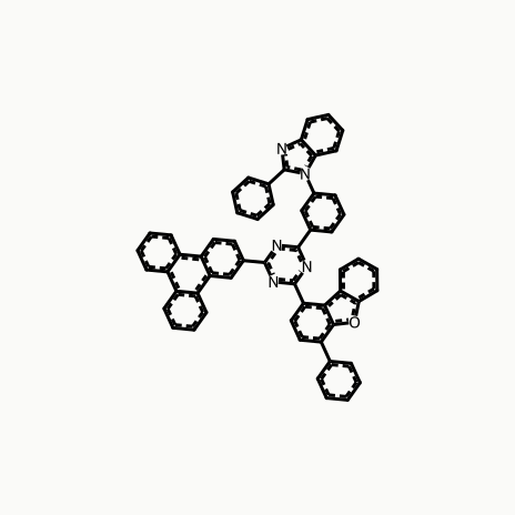 c1ccc(-c2ccc(-c3nc(-c4cccc(-n5c(-c6ccccc6)nc6ccccc65)c4)nc(-c4ccc5c6ccccc6c6ccccc6c5c4)n3)c3c2oc2ccccc23)cc1